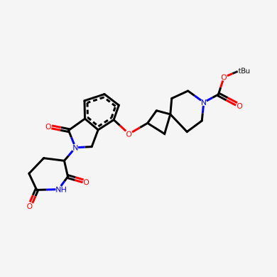 CC(C)(C)OC(=O)N1CCC2(CC1)CC(Oc1cccc3c1CN(C1CCC(=O)NC1=O)C3=O)C2